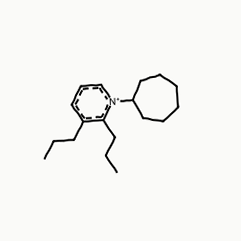 CCCc1ccc[n+](C2CCCCCC2)c1CCC